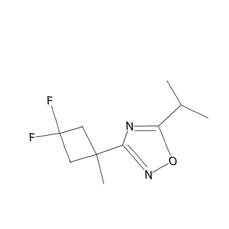 CC(C)c1nc(C2(C)CC(F)(F)C2)no1